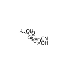 CC(C)=CCCC(C)(O)C1CC[C@]2(C)C1C(=O)CC1[C@@]3(C)CC(C#N)=C(O)C(C)(C)C3CC[C@]12C